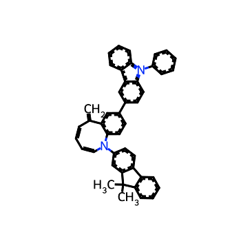 C=C1/C=C\C=C/N(c2ccc3c(c2)C(C)(C)c2ccccc2-3)c2ccc(-c3ccc4c(c3)c3ccccc3n4-c3ccccc3)cc21